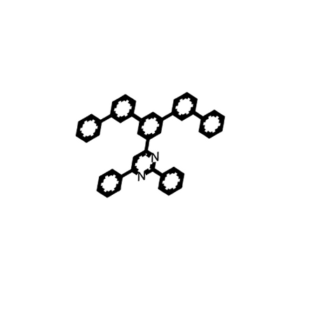 c1ccc(-c2cccc(-c3cc(-c4cccc(-c5ccccc5)c4)cc(-c4cc(-c5ccccc5)nc(-c5ccccc5)n4)c3)c2)cc1